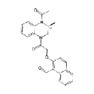 CC(=O)N1c2ccccc2N(C(=O)COc2ccc3ccccc3c2C=O)C[C@@H]1C